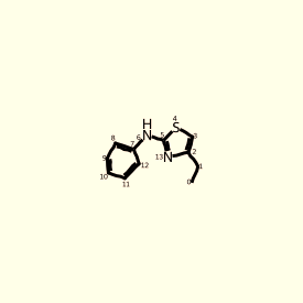 CCc1csc(Nc2ccccc2)n1